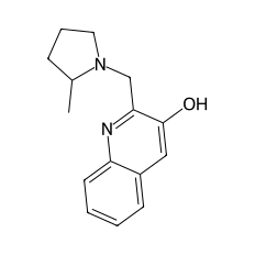 CC1CCCN1Cc1nc2ccccc2cc1O